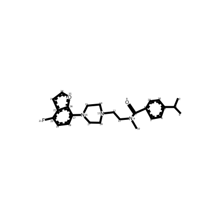 CC(C)c1ccc(C(=O)N(C)CCN2CCN(c3ccc(F)c4ccoc34)CC2)cc1